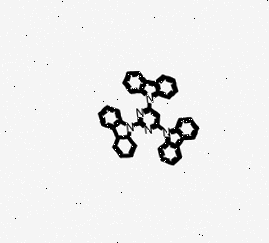 C1=CC2c3ccccc3N(c3nc(-n4c5ccccc5c5ccccc54)cc(-n4c5ccccc5c5ccccc54)n3)C2C=C1